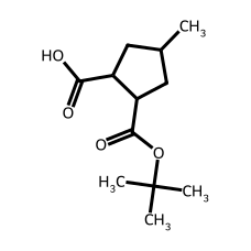 CC1CC(C(=O)O)C(C(=O)OC(C)(C)C)C1